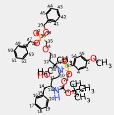 COc1ccc(S(=O)(=O)N(C[C@@H](O)[C@H](Cc2ccccc2)NC(=O)OC(C)(C)C)C(C)(C)CCOCP(=O)(OCc2ccccc2)OCc2ccccc2)cc1